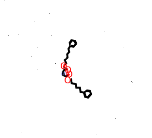 O=C(/C=C\C(=O)OCCCCCCc1ccccc1)OCCCCCCc1ccccc1